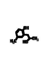 Cc1ccc(O)c(CC(C)O)c1